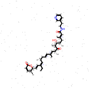 CCC(=C/[C@H](C)C/C=C/C(C)=C/[C@@H](C)C(=O)[C@@H](C)[C@H](O)[C@@H](C)C/C(C)=C/C(=O)NCCc1cccnc1)/C=C/[C@@H]1OC(=O)C=C[C@@H]1C